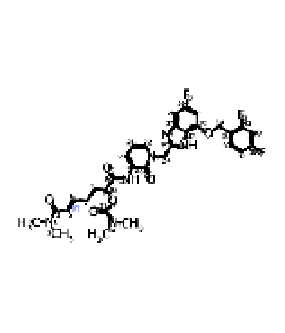 CN(C)C(=O)/C=C/CC[C@H](OC(=O)N(C)C)C(=O)Nc1cccn(Cc2nc3cc(F)cc(OCc4ccc(F)cc4F)c3[nH]2)c1=O